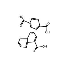 O=C(O)c1ccc(C(=O)O)cc1.O=C(O)c1cccc2ccccc12